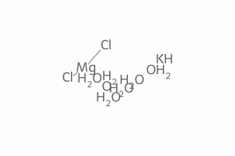 O.O.O.O.O.O.[Cl][Mg][Cl].[KH]